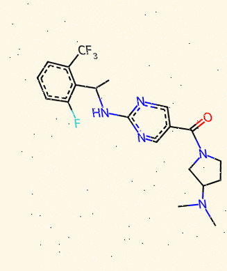 CC(Nc1ncc(C(=O)N2CCC(N(C)C)C2)cn1)c1c(F)cccc1C(F)(F)F